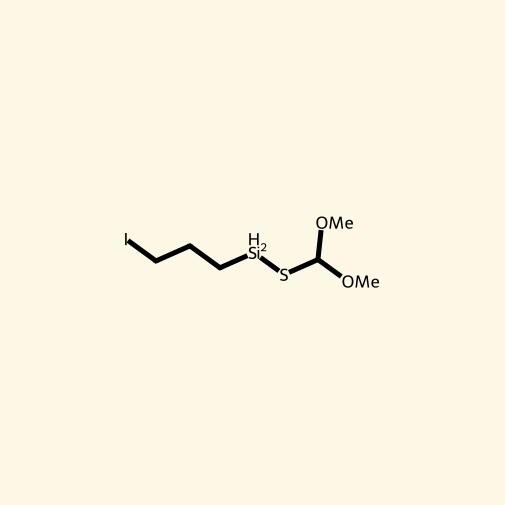 COC(OC)S[SiH2]CCCI